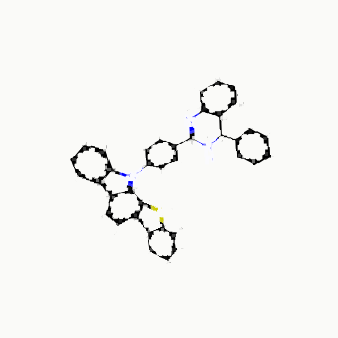 c1ccc(C2NC(c3ccc(-n4c5ccccc5c5ccc6c7ccccc7sc6c54)cc3)=Nc3ccccc32)cc1